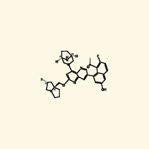 CC(=O)c1c(F)ccc2cc(O)cc(-c3cnc4c(N5C[C@H]6CC[C@@H](C5)N6)cc(OC[C@@]56CCCN5C[C@H](F)C6)nc4c3)c12